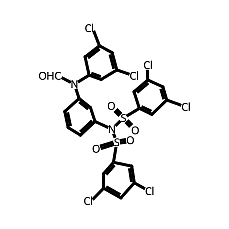 O=CN(c1cc(Cl)cc(Cl)c1)c1cccc(N(S(=O)(=O)c2cc(Cl)cc(Cl)c2)S(=O)(=O)c2cc(Cl)cc(Cl)c2)c1